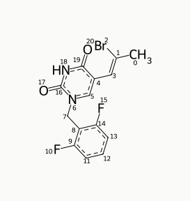 C/C(Br)=C/c1cn(Cc2c(F)cccc2F)c(=O)[nH]c1=O